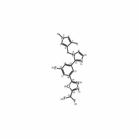 Cc1cn(C)cc1Cn1ccnc1-c1cc(F)cc(-c2nnc(C(F)F)o2)c1